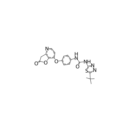 CC(C)(C)c1nnc(NC(=O)Nc2ccc(Oc3ccnc4c3OC(=O)C4)cc2)s1